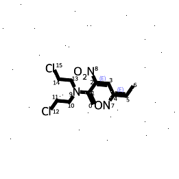 C=C(/C(=C\C(=C/C)N=O)[N+](=O)[O-])N(CCCl)CCCl